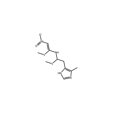 CSC(=C[N+](=O)[O-])NC(Cc1[nH]cnc1C)SC